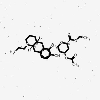 CCCN1CCC[C@@H]2Cc3c(ccc(O)c3O[C@H]3C[C@@H](OC(C)=O)C[C@@H](C(=O)OCC)O3)C[C@H]21